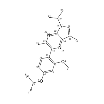 COc1cc(OC(F)F)ccc1-c1nc2c(C)cn(C(C)C)c2nc1C